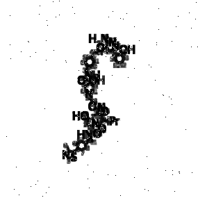 Cc1ncsc1-c1ccc([C@H](C)NC(=O)[C@@H]2C[C@@H](O)CN2C(=O)[C@@H](c2cc(OCCN3CCC(O)(C(=O)NCc4ccc(CCOc5cc(-c6ccccc6O)nnc5N)cc4)CC3)no2)C(C)C)cc1